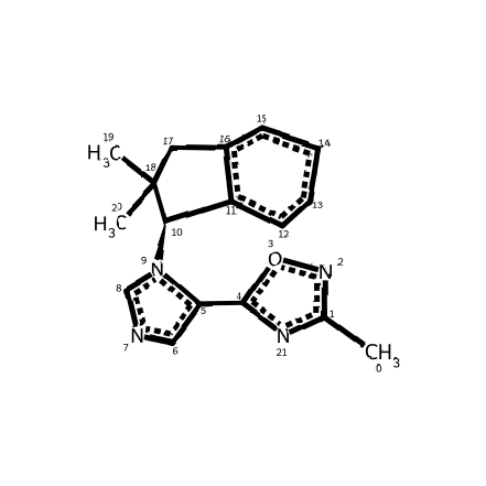 Cc1noc(-c2cncn2[C@@H]2c3ccccc3CC2(C)C)n1